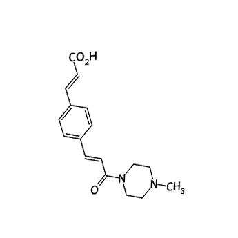 CN1CCN(C(=O)C=Cc2ccc(C=CC(=O)O)cc2)CC1